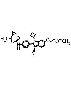 CCOCCOc1ccc2c(C#N)c(-c3ccc(NC(=O)OC(C)C4CC4)cc3)n(C3CCC3)c2c1